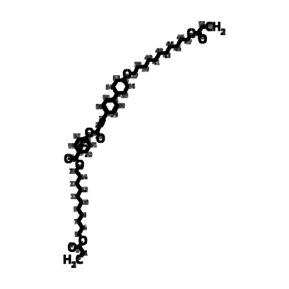 C=CC(=O)OCCCCCCCCCCCOC(=O)C12CCC(OC(=O)C#Cc3ccc(C4CCC(OCCCCCCCCCCCOC(=O)C=C)CC4)cc3)(CC1)CC2